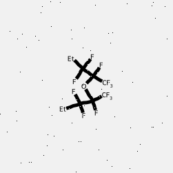 CCC(F)(F)C(F)(OC(F)(C(F)(F)F)C(F)(F)CC)C(F)(F)F